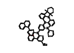 CC(C)(C)c1ccc(N(c2cccc(-c3cccc4ccccc34)c2)c2ccc3c(c2)N(c2ccccc2)c2cccc4c2B3c2cccc3c2N4C2(C)CCCCC32C)c(-c2ccccc2)c1